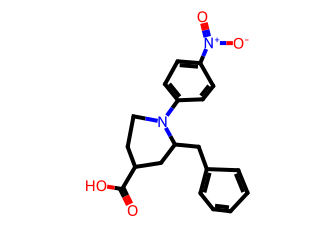 O=C(O)C1CCN(c2ccc([N+](=O)[O-])cc2)C(Cc2ccccc2)C1